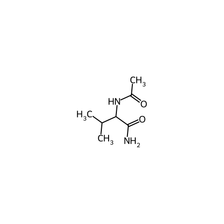 CC(=O)NC(C(N)=O)C(C)C